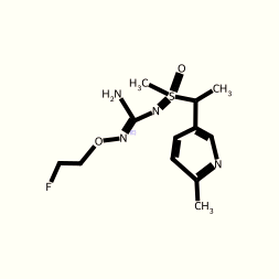 Cc1ccc(C(C)S(C)(=O)=N/C(N)=N/OCCF)cn1